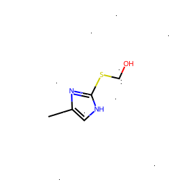 Cc1c[nH]c(SCO)n1